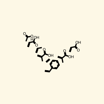 C=C.C=C(C)C(=O)O.C=C(C)C(=O)O.C=CC.C=CC(=O)O.C=CC(=O)O.C=Cc1ccccc1.CC(=O)O